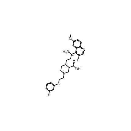 COc1ccc2ncc(F)c([C@H](N)CCC3CCN(CCSc4cccc(F)c4)CC3C(=O)O)c2c1